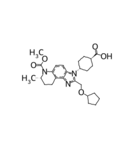 COC(=O)N1c2ccc3c(nc(COC4CCCC4)n3[C@H]3CC[C@H](C(=O)O)CC3)c2CC[C@@H]1C